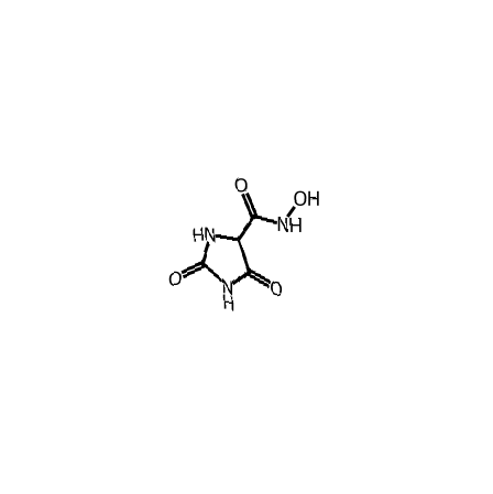 O=C1NC(=O)C(C(=O)NO)N1